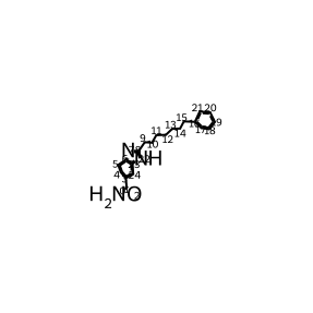 NC(=O)c1ccc2nc(CCCCCCCc3ccccc3)[nH]c2c1